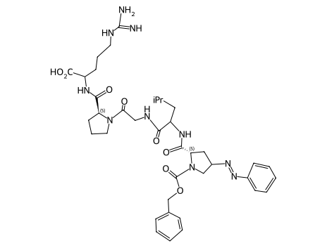 CC(C)CC(NC(=O)[C@@H]1CC(N=Nc2ccccc2)CN1C(=O)OCc1ccccc1)C(=O)NCC(=O)N1CCC[C@H]1C(=O)NC(CCCNC(=N)N)C(=O)O